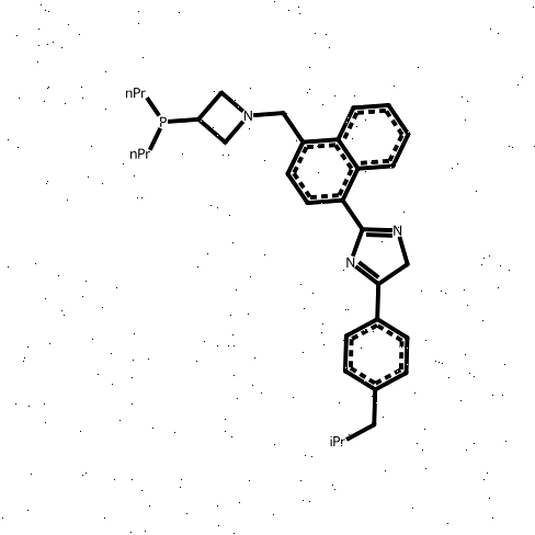 CCCP(CCC)C1CN(Cc2ccc(C3=NCC(c4ccc(CC(C)C)cc4)=N3)c3ccccc23)C1